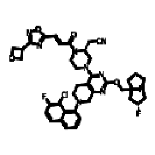 N#CC[C@H]1CN(c2nc(OC[C@@]34CCCN3C[C@H](F)C4)nc3c2CCN(c2cccc4ccc(F)c(Cl)c24)C3)CCN1C(=O)/C=C/c1nc(C2COC2)no1